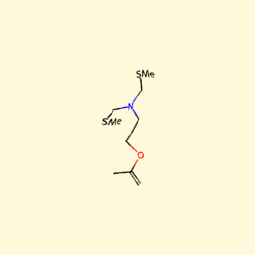 C=C(C)OCCN(CSC)CSC